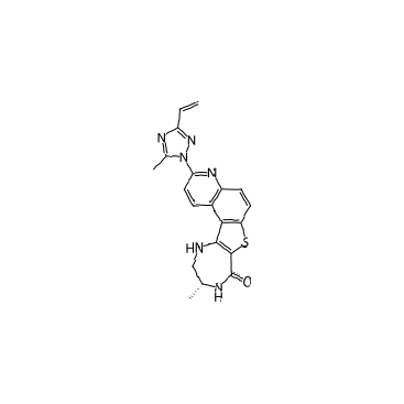 C=Cc1nc(C)n(-c2ccc3c(ccc4sc5c(c43)NC[C@@H](C)NC5=O)n2)n1